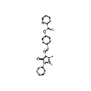 Cc1c(/N=C/c2ccc(OC(=O)c3ccccn3)cc2)c(=O)n(-c2ccccc2)n1C